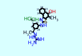 CC(=NNC(=N)N)c1cccc(Nc2nc3c(s2)c(C)c(O)c2ccccc23)c1.Cl.Cl